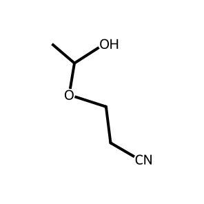 CC(O)OCCC#N